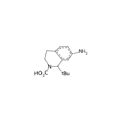 CC(C)(C)C1c2cc(N)ccc2CCN1C(=O)O